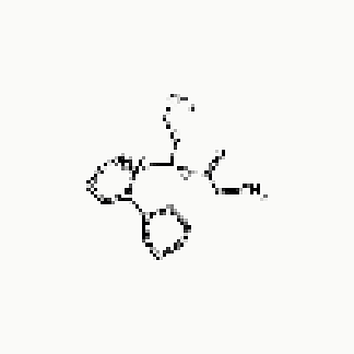 C=CC(=O)OC(C)OCC.c1ccc(-c2ccccc2)cc1